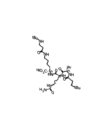 CC(C)[C@H](NC(=O)CCC(C)(C)C)C(=O)N[C@@H](CCCNC(N)=O)C(=O)N[C@@H](CCCCNC(=O)CCNC(C)(C)C)C(=O)O